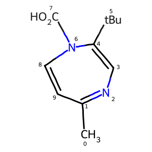 CC1=NC=C(C(C)(C)C)N(C(=O)O)C=C1